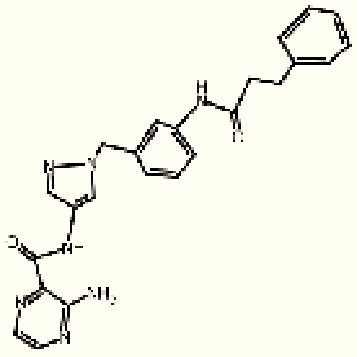 Nc1nccnc1C(=O)Nc1cnn(Cc2cccc(NC(=O)CCc3ccccc3)c2)c1